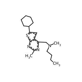 CCCCN(C)Cc1nc(C)nc2sc(C3CCCCC3)cc12